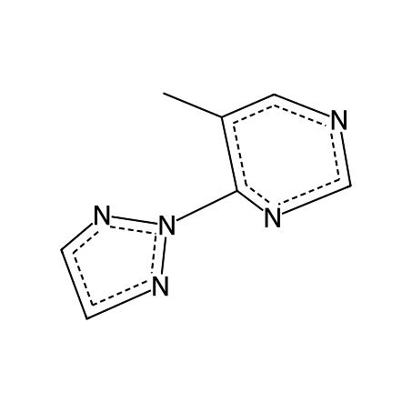 Cc1cncnc1-n1nccn1